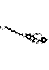 CCCCCCCCCCOc1ccc2c(OC)c(OC(=O)c3ccccc3)c(=O)oc2c1